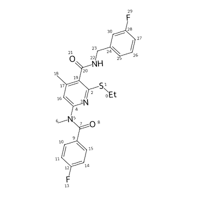 CCSc1nc(N(C)C(=O)c2ccc(F)cc2)cc(C)c1C(=O)NCc1cccc(F)c1